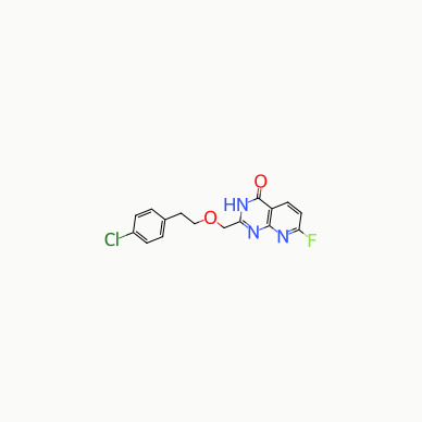 O=c1[nH]c(COCCc2ccc(Cl)cc2)nc2nc(F)ccc12